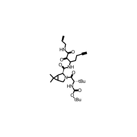 C#CCCC(NC(=O)[C@@H]1C2C(CN1C(=O)[C@@H](NC(=O)OC(C)(C)C)C(C)(C)C)C2(C)C)C(=O)C(=O)NCC=C